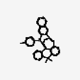 Cc1ccc(N2C3=C4c5ccccc5C(C)(C)c5cccc(c54)C=C(C3)c3cc4ccccc4cc32)cc1